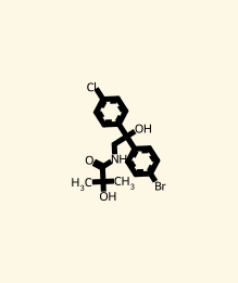 CC(C)(O)C(=O)NCC(O)(c1ccc(Cl)cc1)c1ccc(Br)cc1